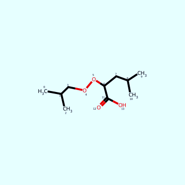 CC(C)COOC(CC(C)C)C(=O)O